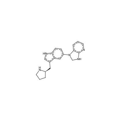 c1cnc2c(c1)N(c1ccc3[nH]cc(C[C@H]4CCCN4)c3c1)CN2